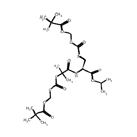 CC(C)OC(=O)[C@H](CSC(=O)OCOC(=O)C(C)(C)C)NC(=O)C(C)(C)SC(=O)OCOC(=O)C(C)(C)C